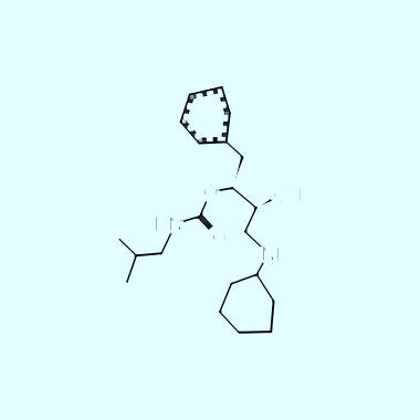 CC(C)CNC(=O)O[C@@H](Cc1ccccc1)[C@@H](O)CNC1CCCCC1